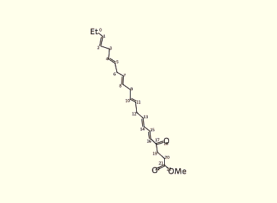 CCC=CCC=CCC=CCC=CCC=CC=CC(=O)CCC(=O)OC